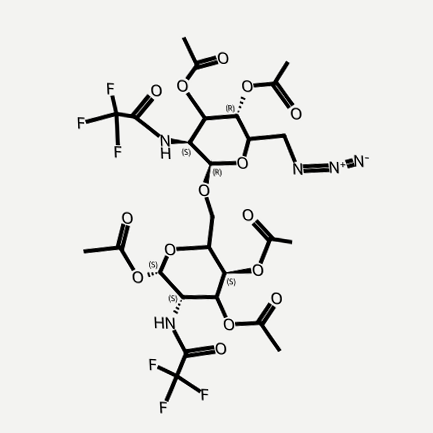 CC(=O)OC1[C@H](OC(C)=O)C(CN=[N+]=[N-])O[C@@H](OCC2O[C@@H](OC(C)=O)[C@@H](NC(=O)C(F)(F)F)C(OC(C)=O)[C@@H]2OC(C)=O)[C@H]1NC(=O)C(F)(F)F